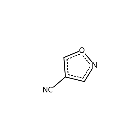 N#Cc1cnoc1